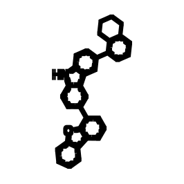 c1cc2c(c(-c3ccc4[nH]c5ccc(-c6cccc7c6oc6ccccc67)cc5c4c3)c1)CCCC2